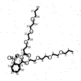 CCCOCCOCCOCCOC(OC(=O)CCOCCOCCOCCC)c1ccccc1[N+](=O)[O-]